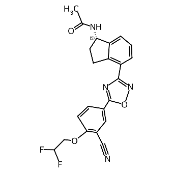 CC(=O)N[C@H]1CCc2c(-c3noc(-c4ccc(OCC(F)F)c(C#N)c4)n3)cccc21